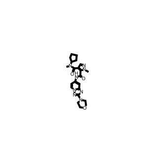 CN(C(=O)c1cnn(C)c1C(=O)Nc1ccn2nc(N3CCOCC3)nc2c1)C1CCCC1